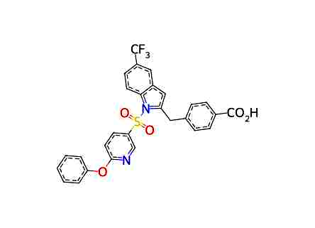 O=C(O)c1ccc(Cc2cc3cc(C(F)(F)F)ccc3n2S(=O)(=O)c2ccc(Oc3ccccc3)nc2)cc1